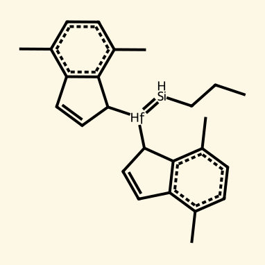 CCC[SiH]=[Hf]([CH]1C=Cc2c(C)ccc(C)c21)[CH]1C=Cc2c(C)ccc(C)c21